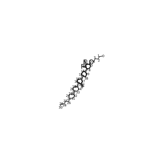 CCCCCOc1ccc(-c2ccc(-c3ccc(C4=CCC(C5CCC(CCCCC)CC5)CC4)c(F)c3)cc2)c(F)c1F